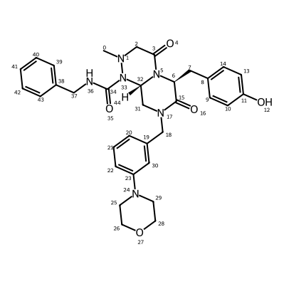 CN1CC(=O)N2[C@@H](Cc3ccc(O)cc3)C(=O)N(Cc3cccc(N4CCOCC4)c3)C[C@@H]2N1C(=O)NCc1ccccc1